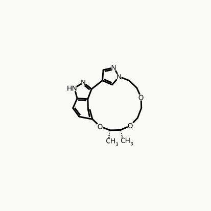 C[C@@H]1Oc2ccc3[nH]nc(c3c2)-c2cnn(c2)CCOCCO[C@@H]1C